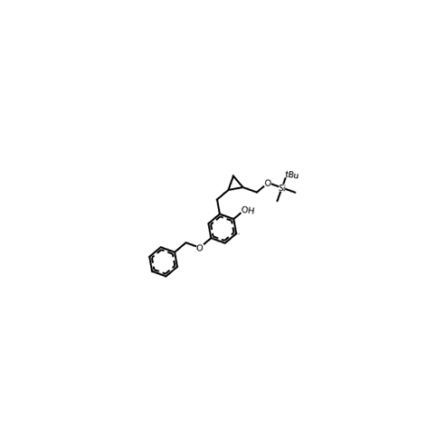 CC(C)(C)[Si](C)(C)OCC1CC1Cc1cc(OCc2ccccc2)c[c]c1O